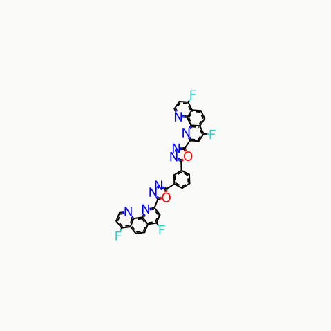 Fc1ccnc2c1ccc1c(F)cc(-c3nnc(-c4cccc(-c5nnc(-c6cc(F)c7ccc8c(F)ccnc8c7n6)o5)c4)o3)nc12